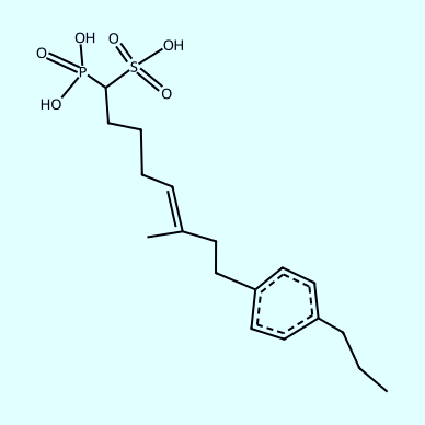 CCCc1ccc(CC/C(C)=C/CCCC(P(=O)(O)O)S(=O)(=O)O)cc1